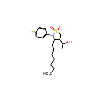 CC(O)C1CS(=O)(=O)N(c2ccc(F)cc2)C1CCCCCCC(=O)O